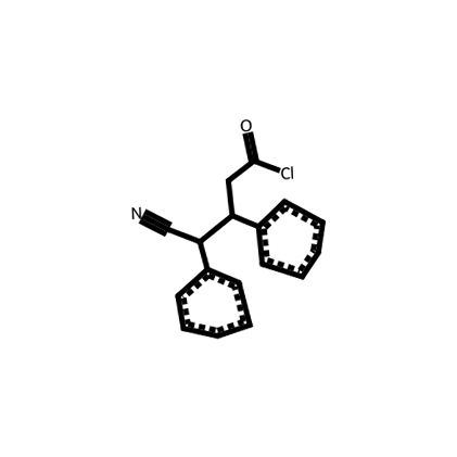 N#CC(c1ccccc1)C(CC(=O)Cl)c1ccccc1